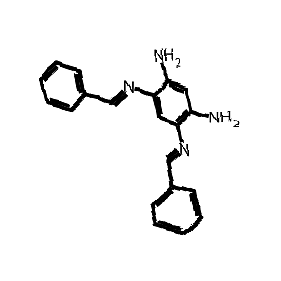 Nc1cc(N)c(N=Cc2ccccc2)cc1N=Cc1ccccc1